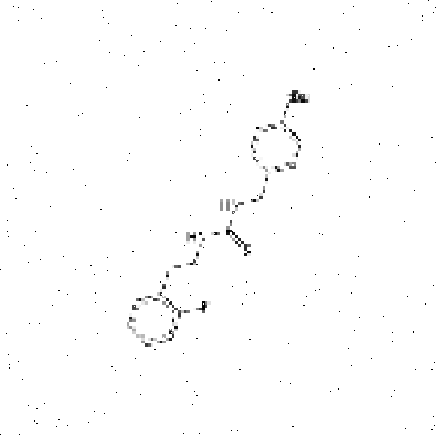 CC(C)(C)c1ccc(CNC(=S)NCCc2ccccc2F)cc1